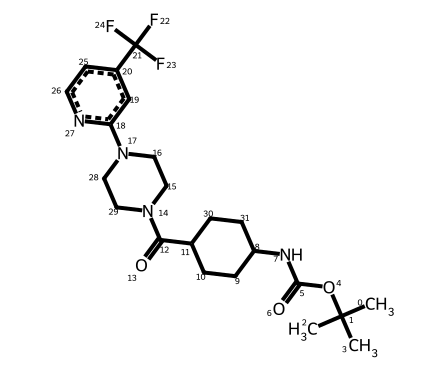 CC(C)(C)OC(=O)NC1CCC(C(=O)N2CCN(c3cc(C(F)(F)F)ccn3)CC2)CC1